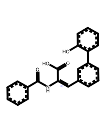 O=C(O)/C(=C\c1cccc(-c2ccccc2O)c1)NC(=O)c1ccccc1